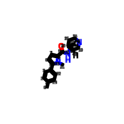 Cc1ccc(-c2ccc(C(=O)N[C@H]3CN4CCC3CC4)n2C)cc1